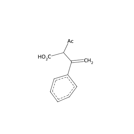 C=C(c1ccccc1)C(C(C)=O)C(=O)O